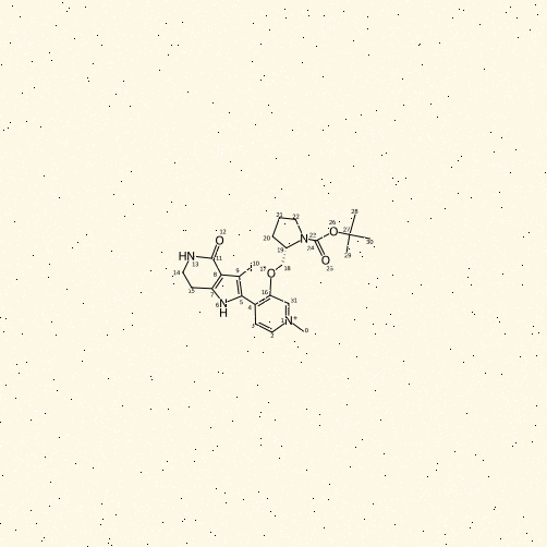 C[n+]1ccc(-c2[nH]c3c(c2I)C(=O)NCC3)c(OC[C@@H]2CCCN2C(=O)OC(C)(C)C)c1